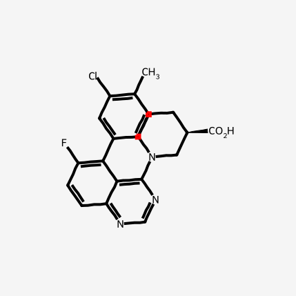 Cc1ccc(-c2c(F)ccc3ncnc(N4CCC[C@@H](C(=O)O)C4)c23)cc1Cl